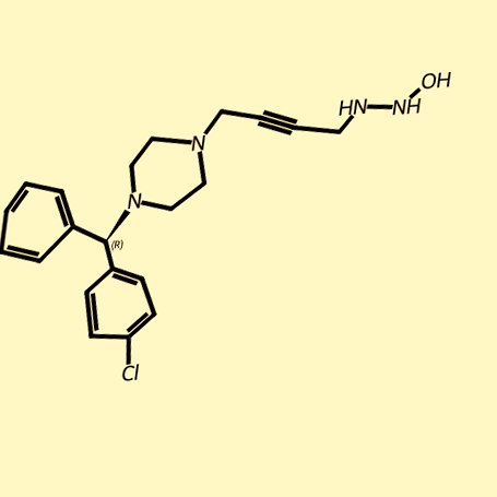 ONNCC#CCN1CCN([C@H](c2ccccc2)c2ccc(Cl)cc2)CC1